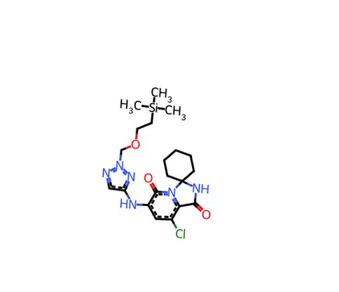 C[Si](C)(C)CCOCn1ncc(Nc2cc(Cl)c3n(c2=O)C2(CCCCC2)NC3=O)n1